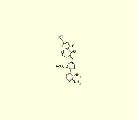 CC(=O)OCc1cc(CN2CCOc3cc(C4CC4)cc(F)c3C2=O)ccc1-c1ccnc(N)c1N